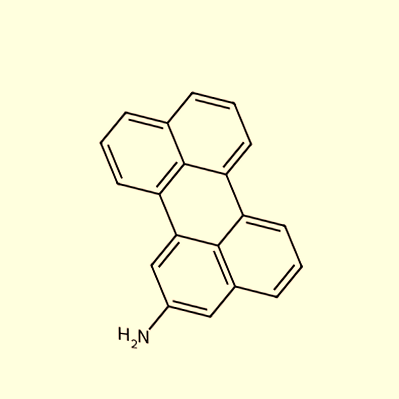 Nc1cc2cccc3c4cccc5cccc(c(c1)c23)c54